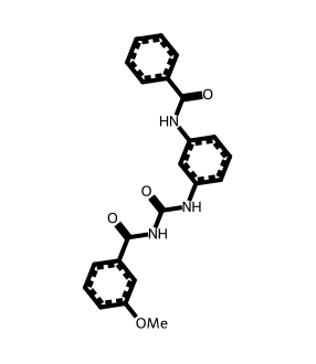 COc1cccc(C(=O)NC(=O)Nc2cccc(NC(=O)c3ccccc3)c2)c1